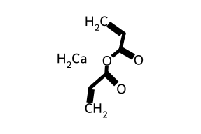 C=CC(=O)OC(=O)C=C.[CaH2]